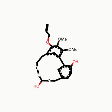 C=CCOc1c2cc(c(OC)c1OC)-c1cc(ccc1O)CCC(O)CCCC2